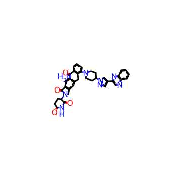 NC(=O)c1cccc(N2CCC(n3cc(-c4cnc5ccccc5n4)cn3)CC2)c1Cc1ccc2c(c1)CN(C1CCC(=O)NC1=O)C2=O